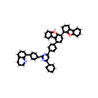 c1ccc(-c2cc(-c3ccc(-c4ccc(-c5cccc6c5oc5ccccc56)c5oc6ccccc6c45)cc3)nc(-c3ccc(-c4cccc5cccnc45)cc3)n2)cc1